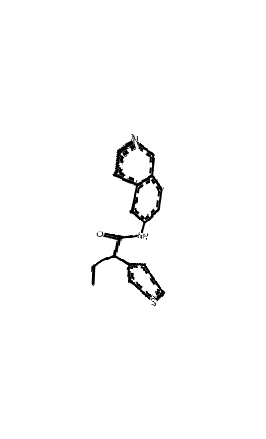 CCC(C(=O)Nc1ccc2cnccc2c1)c1ccsc1